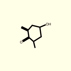 C=C1CC(O)CC(C)C1=O